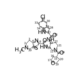 CN1CCc2nc(C(=O)NC3CN(C(=O)C4CCOCC4)CCC3NC(=O)c3cc4cc(Cl)ccc4[nH]3)sc2C1